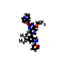 Cc1cc2c(cnn2C2CCCCO2)c(-c2ncc3c(OCC(F)(F)F)nc(OCC45CCCN4CCC5)nc3c2F)c1C